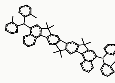 Cc1ccccc1N(c1ccccc1)c1cc2c(c3ccccc13)-c1cc3c(cc1C2(C)C)-c1cc2c(cc1C3(C)C)-c1c(cc(N(c3ccccc3C)c3ccccc3C)c3ccccc13)C2(C)C